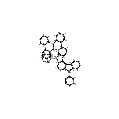 c1ccc(-n2c3ccccc3c3c4c5ccc6c(c5n(-c5ccccc5)c4ccc32)B2c3ccccc3-c3ccccc3N2c2ccccc2-6)cc1